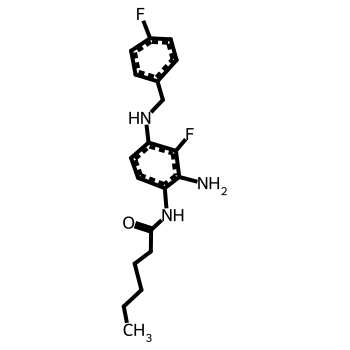 CCCCCC(=O)Nc1ccc(NCc2ccc(F)cc2)c(F)c1N